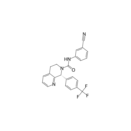 N#Cc1cccc(NC(=O)N2CCc3cccnc3[C@H]2c2ccc(C(F)(F)F)cc2)c1